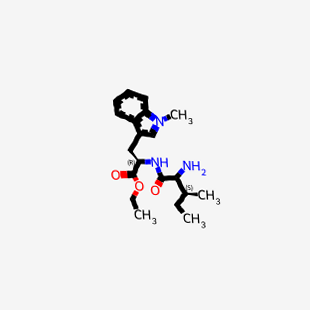 CCOC(=O)[C@@H](Cc1cn(C)c2ccccc12)NC(=O)C(N)[C@@H](C)CC